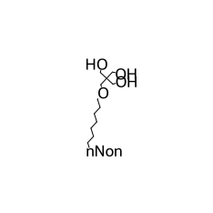 CCCCCCCCCCCCCCCCOCC(CO)(CO)CO